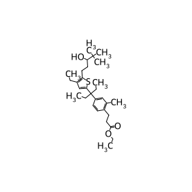 CCOC(=O)CCc1ccc(C(CC)(CC)c2cc(CC)c(CCC(O)C(C)(C)C)s2)cc1C